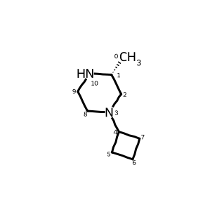 C[C@@H]1CN(C2CCC2)CCN1